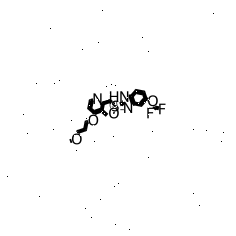 COCCCOc1ccnc(C[S@@+]([O-])c2nc3cc(OC(F)F)ccc3[nH]2)c1C